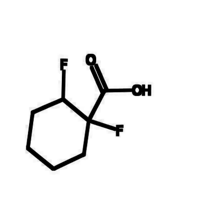 O=C(O)C1(F)CCCCC1F